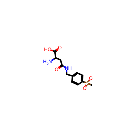 CS(=O)(=O)c1ccc(CNC(=O)CC(N)C(=O)O)cc1